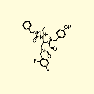 CCN(C)N(C(=O)NCc1ccccc1)C(CN(C=O)Cc1ccc(F)cc1F)N(C=O)[C@H](C)Cc1ccc(O)cc1